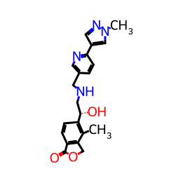 Cc1c([C@@H](O)CNCc2ccc(-c3cnn(C)c3)nc2)ccc2c1COC2=O